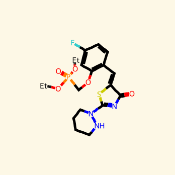 CCOP(=O)(COc1cc(F)ccc1/C=C1\SC(N2CCCCN2)=NC1=O)OCC